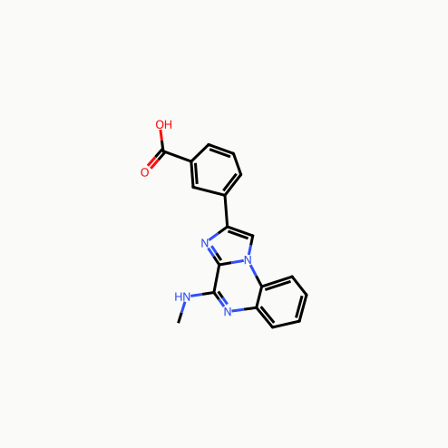 CNc1nc2ccccc2n2cc(-c3cccc(C(=O)O)c3)nc12